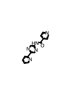 O=C(Nc1cnc(-c2ccccn2)cn1)c1ccncc1